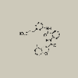 Cc1cccc2c1C=C(C(=O)Nc1ccccc1C(=O)Nc1cccc(CCC(=O)O)c1)CO2